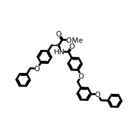 COC(=O)[C@H](Cc1ccc(OCc2ccccc2)cc1)NC(=O)c1ccc(OCc2cccc(OCc3ccccc3)c2)cc1